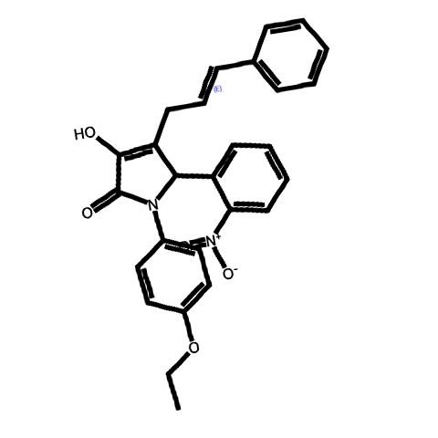 CCOc1ccc(N2C(=O)C(O)=C(C/C=C/c3ccccc3)C2c2ccccc2[N+](=O)[O-])cc1